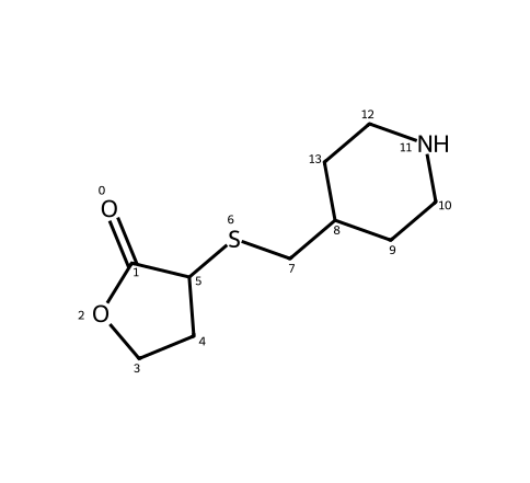 O=C1OCCC1SCC1CCNCC1